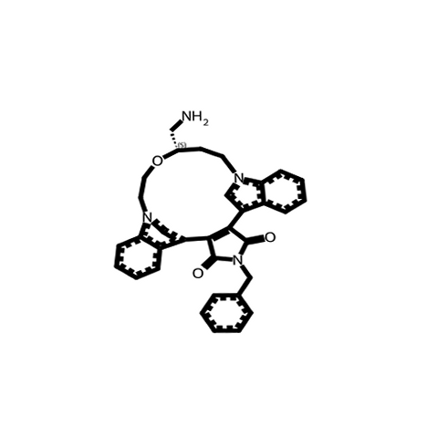 NC[C@@H]1CCn2cc(c3ccccc32)C2=C(C(=O)N(Cc3ccccc3)C2=O)c2cn(c3ccccc23)CCO1